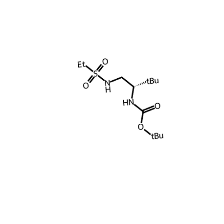 CCS(=O)(=O)NC[C@@H](NC(=O)OC(C)(C)C)C(C)(C)C